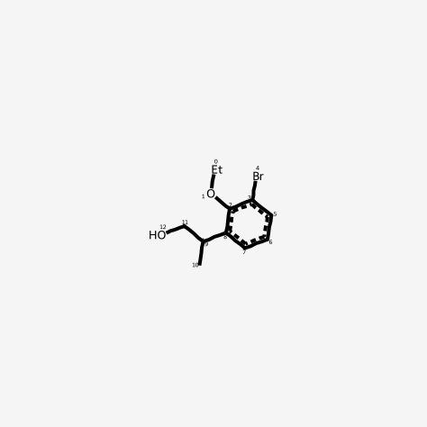 CCOc1c(Br)cccc1[C](C)CO